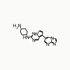 N[C@H]1CC[C@H](Nc2ncc3c(-c4cnc5nccn5c4)ccn3n2)CC1